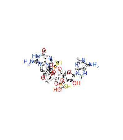 C[C@H]1[C@@H](O)[C@H](n2cnc3c(N)ncnc32)O[C@@H]1CO[P@](=O)(S)O[C@H]1[C@H]2OC[C@]1(COP(=O)(O)S)O[C@H]2n1cnc2c(=O)[nH]c(N)nc21